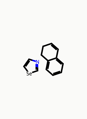 C1=Cc2ccccc2CC1.c1c[se]cn1